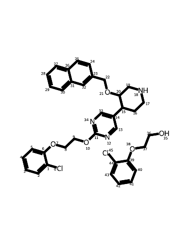 Clc1ccccc1OCCOc1ncc(C2CCNCC2OCc2ccc3ccccc3c2)cn1.OCCOc1ccccc1Cl